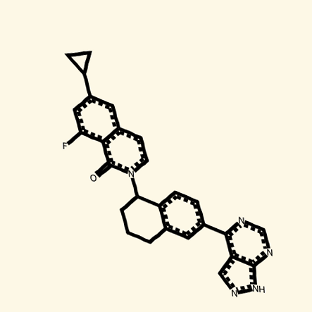 O=c1c2c(F)cc(C3CC3)cc2ccn1C1CCCc2cc(-c3ncnc4[nH]ncc34)ccc21